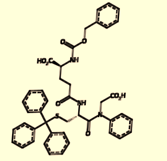 O=C(O)CN(C(=O)[C@H](CSC(c1ccccc1)(c1ccccc1)c1ccccc1)NC(=O)CC[C@H](NC(=O)OCc1ccccc1)C(=O)O)c1ccccc1